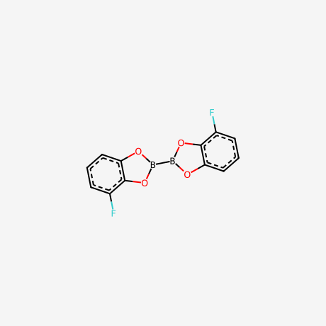 Fc1cccc2c1OB(B1Oc3cccc(F)c3O1)O2